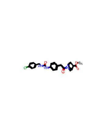 CC(C)(C)OC(=O)C1CC2CC1CN2C(=O)Cc1ccc(NC(=O)NCc2ccc(Cl)cc2)cc1